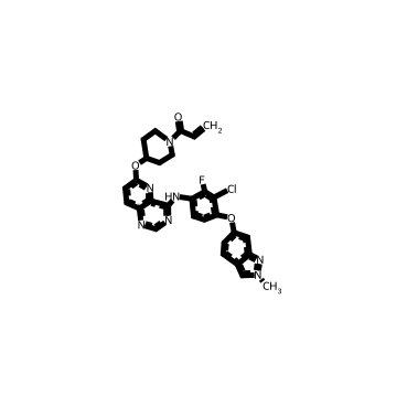 C=CC(=O)N1CCC(Oc2ccc3ncnc(Nc4ccc(Oc5ccc6cn(C)nc6c5)c(Cl)c4F)c3n2)CC1